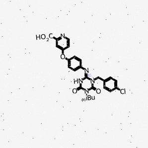 CC[C@@H](C)n1c(=O)[nH]/c(=N\c2ccc(Oc3ccnc(C(=O)O)c3)cc2)n(Cc2ccc(Cl)cc2)c1=O